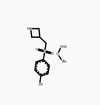 CC(C)(C)OC=O.N#Cc1ccc(S(=O)(=O)CC2CNC2)cc1